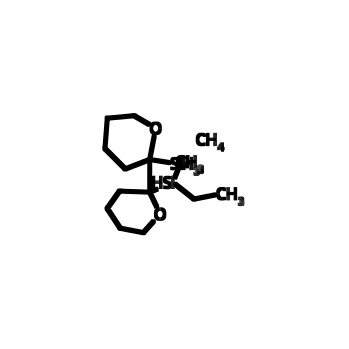 C.CC[SiH](C)C1(C2([SiH3])CCCCO2)CCCCO1